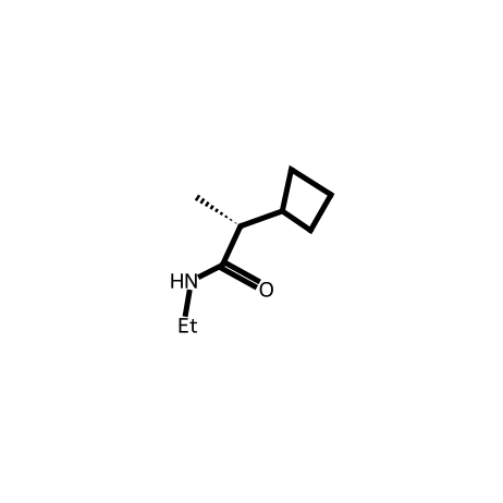 CCNC(=O)[C@H](C)C1CCC1